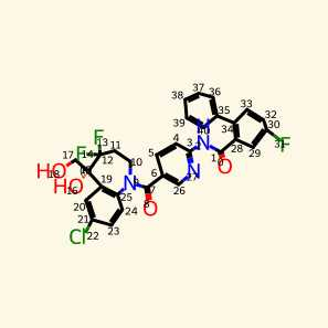 O=C(Nc1ccc(C(=O)N2CCC(F)(F)[C@](O)(CO)c3cc(Cl)ccc32)cn1)c1cc(F)ccc1-c1ccccc1